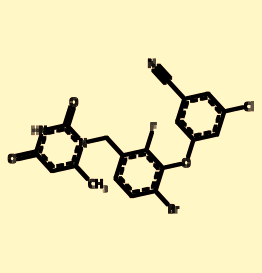 Cc1cc(=O)[nH]c(=O)n1Cc1ccc(Br)c(Oc2cc(Cl)cc(C#N)c2)c1F